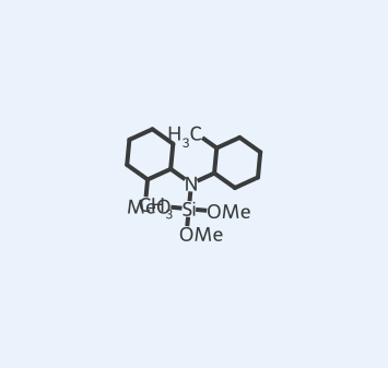 CO[Si](OC)(OC)N(C1CCCCC1C)C1CCCCC1C